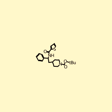 CC(C)(C)OC(=O)N1CCC(CC(NC(=O)c2cccs2)c2ccccc2)CC1